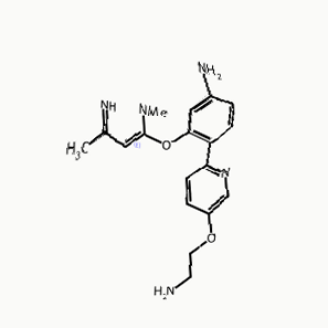 CN/C(=C\C(C)=N)Oc1cc(N)ccc1-c1ccc(OCCN)cn1